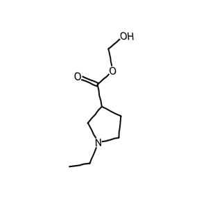 CCN1CCC(C(=O)OCO)C1